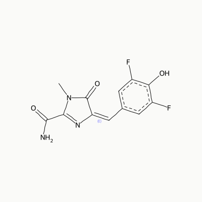 CN1C(=O)/C(=C\c2cc(F)c(O)c(F)c2)N=C1C(N)=O